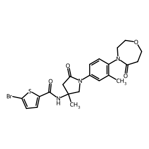 Cc1cc(N2CC(C)(NC(=O)c3ccc(Br)s3)CC2=O)ccc1N1CCOCCC1=O